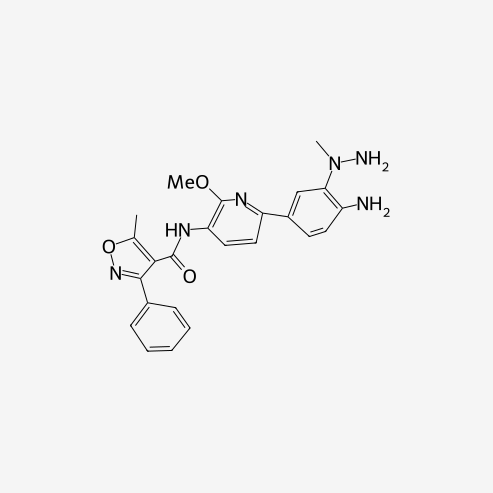 COc1nc(-c2ccc(N)c(N(C)N)c2)ccc1NC(=O)c1c(-c2ccccc2)noc1C